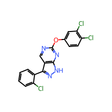 Clc1ccc(Oc2ncc3c(-c4ccccc4Cl)n[nH]c3n2)cc1Cl